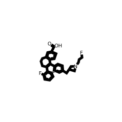 O=C(O)c1ccc2c(c1)CCCC(c1c(F)cccc1F)=C2c1ccc(CC2CN(CCCF)C2)cc1